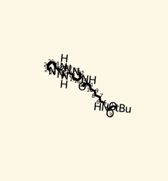 CC(C)(C)OC(=O)NCCCCCCCC(=O)Nc1ccc(C2=NNC(c3ccccn3)=NN2)nc1